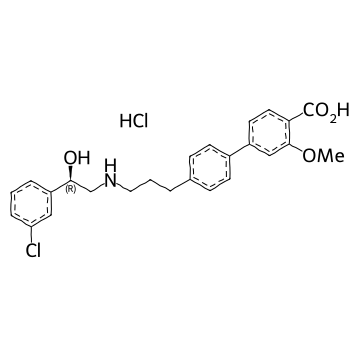 COc1cc(-c2ccc(CCCNC[C@H](O)c3cccc(Cl)c3)cc2)ccc1C(=O)O.Cl